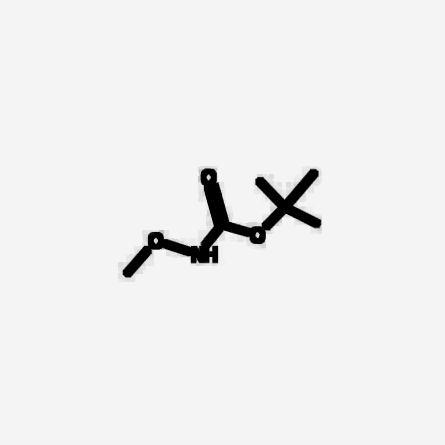 CONC(=O)OC(C)(C)C